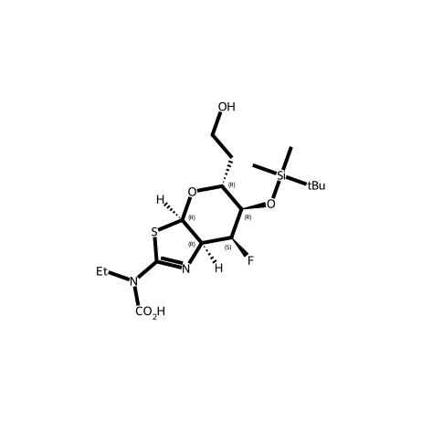 CCN(C(=O)O)C1=N[C@@H]2[C@H](F)[C@H](O[Si](C)(C)C(C)(C)C)[C@@H](CCO)O[C@@H]2S1